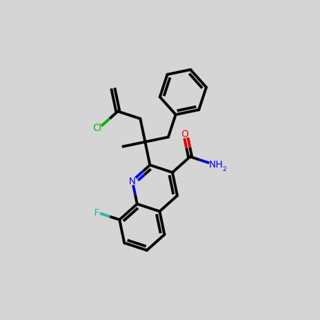 C=C(Cl)CC(C)(Cc1ccccc1)c1nc2c(F)cccc2cc1C(N)=O